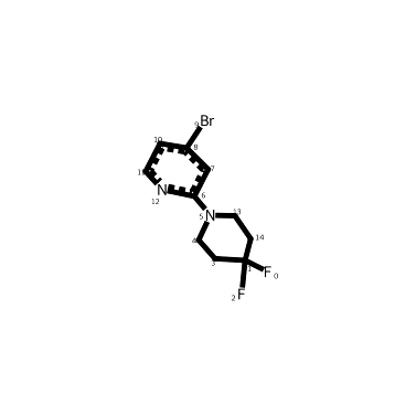 FC1(F)CCN(c2cc(Br)ccn2)CC1